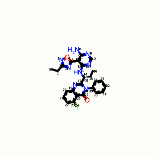 CCc1noc(-c2c(N)ncnc2N[C@@H](CC)c2nc3cccc(F)c3c(=O)n2-c2ccccc2)n1